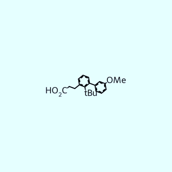 COc1cccc(-c2cccc(CCC(=O)O)c2C(C)(C)C)c1